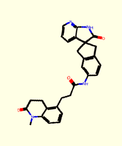 CN1C(=O)CCc2c(CCC(=O)Nc3ccc4c(c3)CC3(C4)C(=O)Nc4ncccc43)cccc21